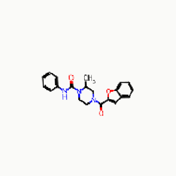 CC1CN(C(=O)c2cc3ccccc3o2)CCN1C(=O)Nc1ccccc1